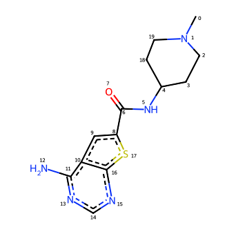 CN1CCC(NC(=O)c2cc3c(N)ncnc3s2)CC1